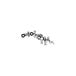 CCNC(=O)[C@H]1O[C@@H](n2cnc3c(NC(=O)Nc4ccc(S(=O)(=O)NCc5ccccc5)cc4)ncnc32)[C@H](O)[C@@H]1O